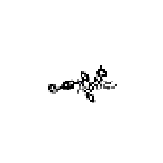 CC1(C)c2cc3ccccc3cc2-c2c(-c3ccccc3/C(=C/Cc3ccc(-c4ccccc4)cc3)NC(N)c3ccccc3)cccc21